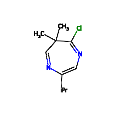 CC(C)C1=CN=C(Cl)C(C)(C)C=N1